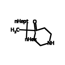 CCCCCCCC(C)(CCCCCC)P1(=O)CCNCC1